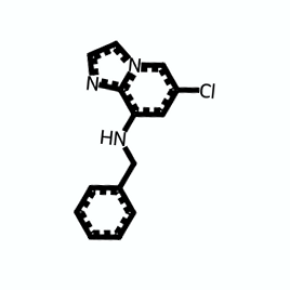 Clc1cc(NCc2ccccc2)c2nccn2c1